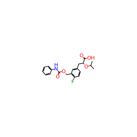 CC(C)OC(Cc1ccc(F)c(COC(=O)Nc2ccccc2)c1)C(=O)O